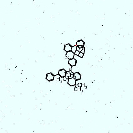 CC1(C)CCC(C)(C)c2c(N(c3ccc(-c4ccccc4)cc3)c3ccc4c(c3)Sc3cccc(-c5ccccc5)c3C43C4CC5CC6CC3C64C5)cccc21